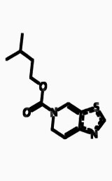 CC(C)CCOC(=O)N1C=c2scnc2=CC1